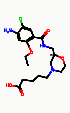 CCOc1cc(N)c(Cl)cc1C(=O)NC[C@@H]1CN(CCCCC(=O)O)CCO1